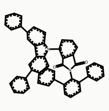 O=C1c2cccc(-n3c4ccc(-c5ccccc5)cc4c4cc(-c5ccccc5)ccc43)c2C(=O)N1c1c(-c2ccccc2)cccc1-c1ccccc1